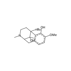 CCCCC12CCN(C)C(Cc3ccc(OC)c(O)c31)C2(C)O